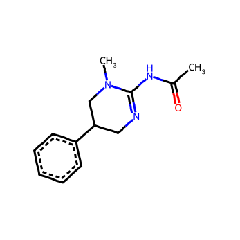 CC(=O)NC1=NCC(c2ccccc2)CN1C